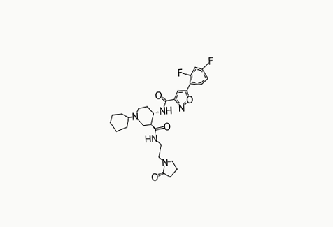 O=C(N[C@H]1CCN(C2CCCCC2)C[C@@H]1C(=O)NCCN1CCCC1=O)c1cc(-c2ccc(F)cc2F)on1